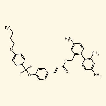 [CH2]c1cc(N)ccc1-c1ccc(N)cc1COC(=O)/C=C/c1ccc(OC(F)(F)c2ccc(OCCCC(F)(F)F)cc2)cc1